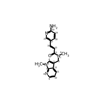 CN(Cc1cn(C)c2ncccc12)C(=O)C=Cc1ccc(N)nc1